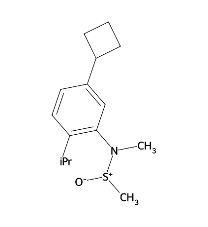 CC(C)c1ccc(C2CCC2)cc1N(C)[S+](C)[O-]